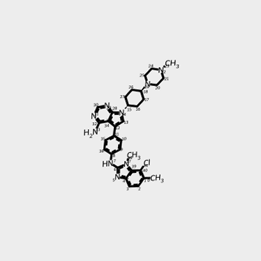 Cc1ccc2nc(Nc3ccc(-c4cn([C@H]5CC[C@H](N6CCN(C)CC6)CC5)c5ncnc(N)c45)cc3)n(C)c2c1Cl